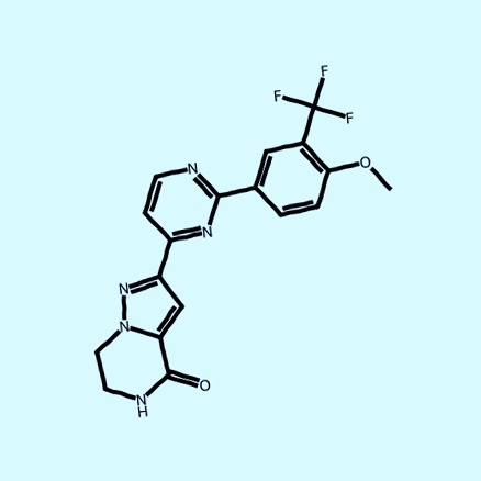 COc1ccc(-c2nccc(-c3cc4n(n3)CCNC4=O)n2)cc1C(F)(F)F